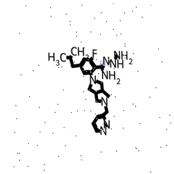 CC(C)Cc1cc(F)c(/C(N)=N/NN)c(N2CC3CN(Cc4cccnn4)CC3C2)c1